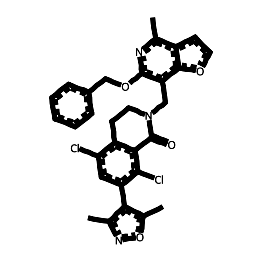 Cc1noc(C)c1-c1cc(Cl)c2c(c1Cl)C(=O)N(Cc1c(OCc3ccccc3)nc(C)c3ccoc13)CC2